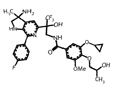 COc1cc(C(=O)NCC(O)(c2cc3c(c(-c4ccc(F)cc4)n2)NCC3(C)N)C(F)(F)F)cc(OC2CC2)c1OCC(C)O